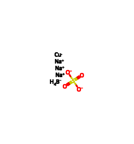 O=S(=O)([O-])[O-].[BH4-].[Cu].[Na+].[Na+].[Na+]